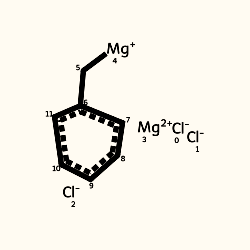 [Cl-].[Cl-].[Cl-].[Mg+2].[Mg+][CH2]c1ccccc1